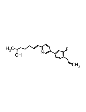 C=CCc1ccc(-c2ccc(/C=C/CCCC(C)O)nc2)cc1F